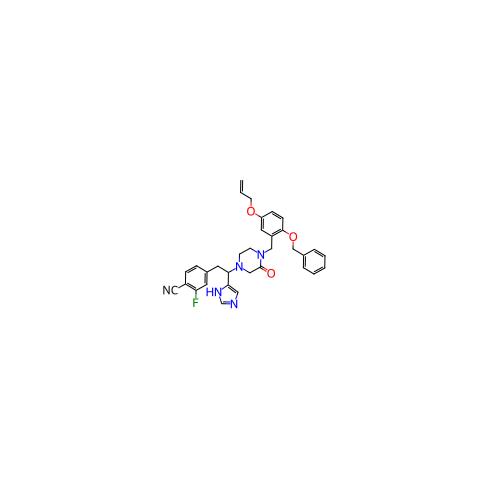 C=CCOc1ccc(OCc2ccccc2)c(CN2CCN(C(Cc3ccc(C#N)c(F)c3)c3cnc[nH]3)CC2=O)c1